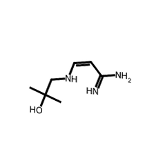 CC(C)(O)CN/C=C\C(=N)N